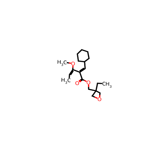 C/C=C(OC)\C(=C/C1CCCCC1)C(=O)OCC1(CC)COC1